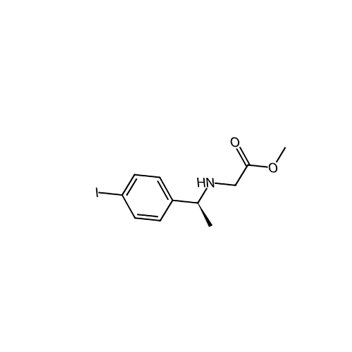 COC(=O)CN[C@@H](C)c1ccc(I)cc1